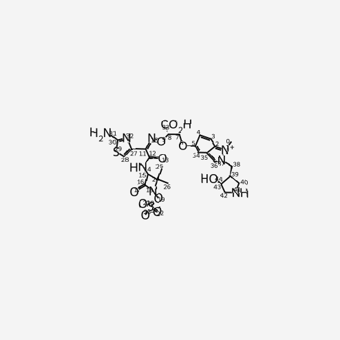 C[n+]1c2ccc(OC[C@H](O/N=C(\C(=O)NC3C(=O)N(OS(=O)(=O)[O-])C3(C)C)c3csc(N)n3)C(=O)O)cc2cn1C[C@H]1CNC[C@H]1O